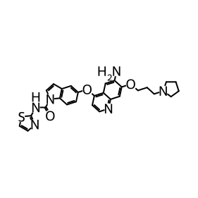 Nc1cc2c(Oc3ccc4c(ccn4C(=O)Nc4nccs4)c3)ccnc2cc1OCCCN1CCCC1